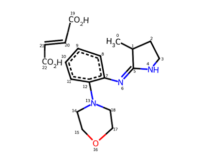 CC1CCNC1=Nc1ccccc1N1CCOCC1.O=C(O)C=CC(=O)O